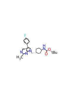 Cc1ncc2c(-c3ccc(F)cc3)cn(C[C@H]3CC[C@H](NC(=O)OC(C)(C)C)CC3)c2n1